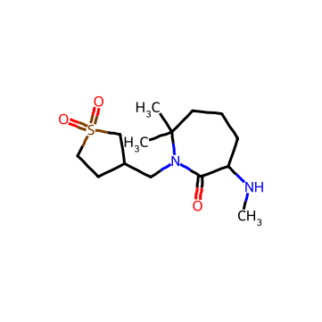 CNC1CCCC(C)(C)N(CC2CCS(=O)(=O)C2)C1=O